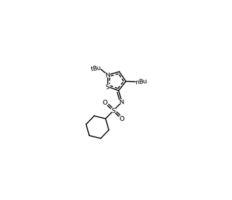 CCCCc1cn(C(C)(C)C)s/c1=N\S(=O)(=O)C1CCCCC1